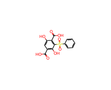 O=C(O)c1cc(O)c(C(=O)O)c(S(=O)(=O)c2ccccc2)c1O